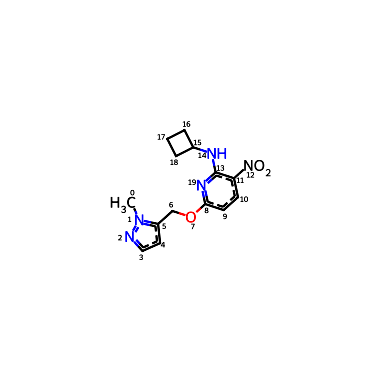 Cn1nccc1COc1ccc([N+](=O)[O-])c(NC2CCC2)n1